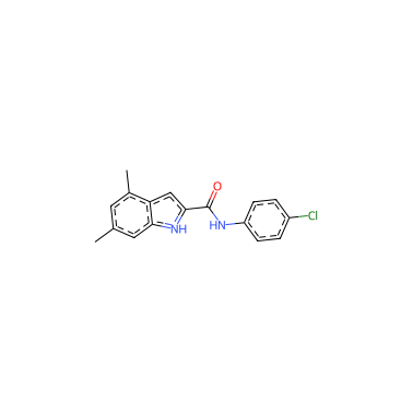 Cc1cc(C)c2cc(C(=O)Nc3ccc(Cl)cc3)[nH]c2c1